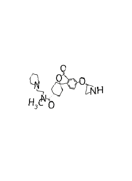 CN(CCN1CCCCC1)C(=O)[C@H]1CC[C@@]2(CC1)OC(=O)c1cc(OC3CNC3)ccc12